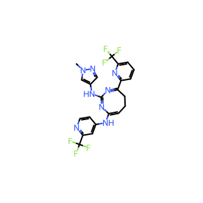 Cn1cc(NC2=N/C(Nc3ccnc(C(F)(F)F)c3)=C\CC/C(c3cccc(C(F)(F)F)n3)=N\2)cn1